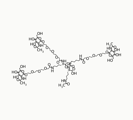 CC(=O)NCCCC[C@H](NC(=O)[C@H](CCCCNC(=O)COCCOCCOCCO[C@@H]1O[C@H](CO)[C@H](O)[C@H](O)[C@H]1NC(C)=O)CC(=O)[C@H](CCCCNC(=O)COCCOCCOCCO[C@@H]1O[C@H](CO)[C@H](O)[C@H](O)[C@H]1NC(C)=O)NC(=O)COCCOCCOCCO[C@@H]1O[C@H](CO)[C@H](O)[C@H](O)[C@H]1NC(C)=O)C(=O)O